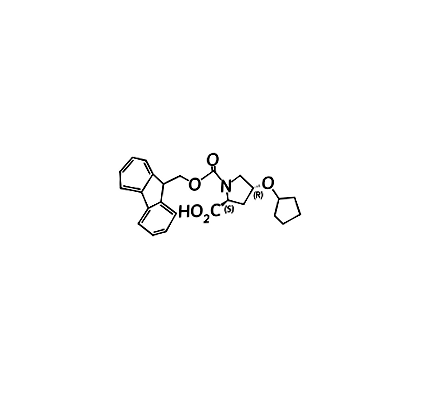 O=C(O)[C@@H]1C[C@@H](OC2CCCC2)CN1C(=O)OCC1c2ccccc2-c2ccccc21